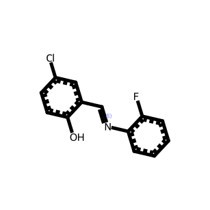 Oc1ccc(Cl)cc1/C=N/c1ccccc1F